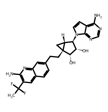 CC(F)(F)c1cc2ccc(CC[C@@]34C[C@@H]3[C@@H](n3ccc5c(N)ncnc53)[C@H](O)[C@@H]4O)cc2nc1N